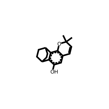 CC1(C)C=Cc2cc(O)c3c(c2O1)C1CCC3CC1